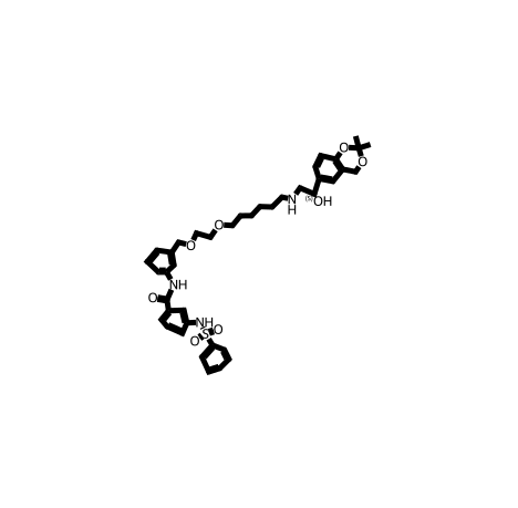 CC1(C)OCc2cc([C@H](O)CNCCCCCCOCCOCc3cccc(NC(=O)c4cccc(NS(=O)(=O)c5ccccc5)c4)c3)ccc2O1